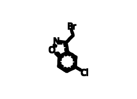 Clc1ccc2onc(CBr)c2c1